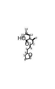 C=C(C/C=C/CC1CCCO1)C(C=C(C)C)C(=O)O